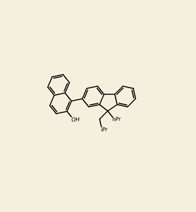 CCCC1(CC(C)C)c2ccccc2-c2ccc(-c3c(O)ccc4ccccc34)cc21